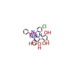 Cc1cc(O)c2c(c1O)c1c(O)c(O)cc(O)c1n2-c1cc(Cl)ccc1-c1nc(-c2ccccc2)nc(-c2ccccc2)n1